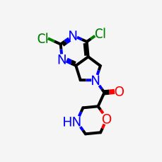 O=C(C1CNCCO1)N1Cc2nc(Cl)nc(Cl)c2C1